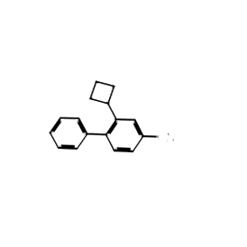 N#Cc1ccc(-c2ccccc2)c(C2CCC2)c1